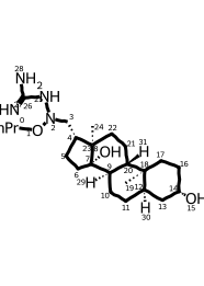 CCCON(C[C@H]1CC[C@]2(O)[C@@H]3CC[C@@H]4C[C@@H](O)CC[C@]4(C)[C@H]3CC[C@]12C)NC(=N)N